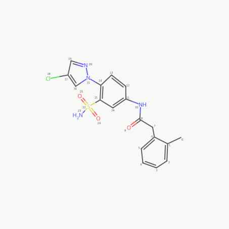 Cc1ccccc1CC(=O)Nc1ccc(-n2cc(Cl)cn2)c(S(N)(=O)=O)c1